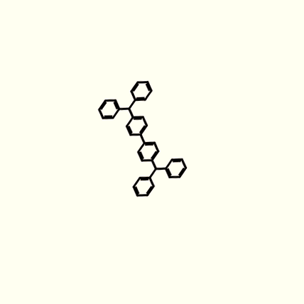 c1ccc(C(c2ccccc2)c2ccc(-c3ccc(C(c4ccccc4)c4ccccc4)cc3)cc2)cc1